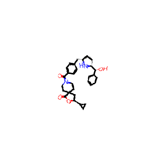 O=C(c1ccc(C[C@@H]2CC[C@H]([C@H](O)c3ccccc3)N2)cc1)N1CCC2(CC1)CC(C1CC1)OC2=O